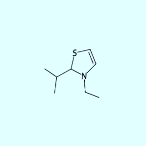 CCN1C=CSC1C(C)C